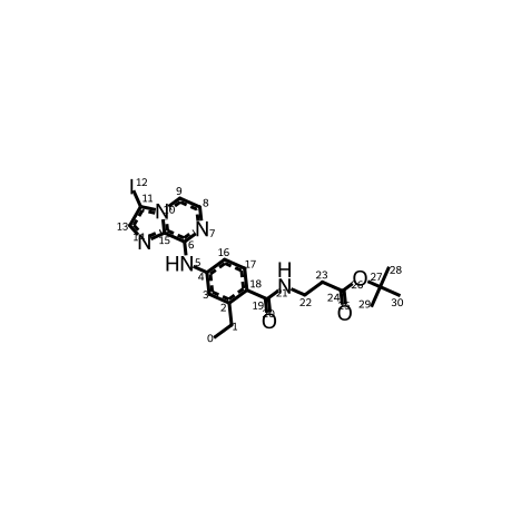 CCc1cc(Nc2nccn3c(I)cnc23)ccc1C(=O)NCCC(=O)OC(C)(C)C